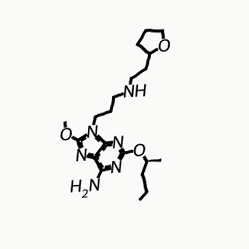 CCC[C@H](C)Oc1nc(N)c2nc(OC)n(CCCNCCC3CCCO3)c2n1